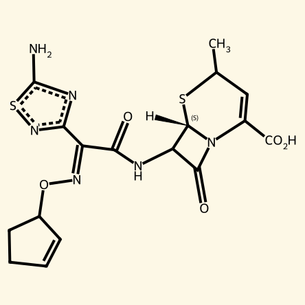 CC1C=C(C(=O)O)N2C(=O)C(NC(=O)C(=NOC3C=CCC3)c3nsc(N)n3)[C@@H]2S1